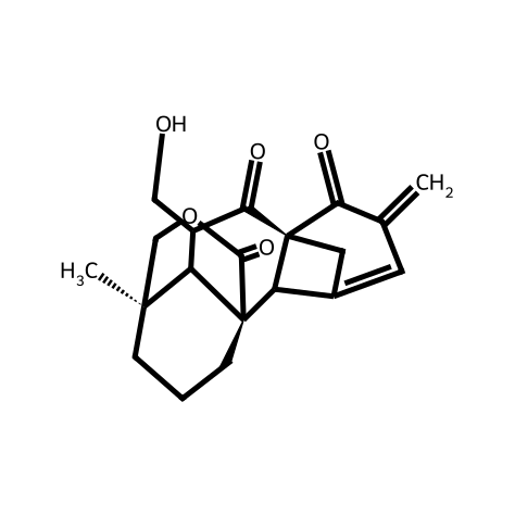 C=C1C=C2C[C@]3(C1=O)C(=O)C(CO)C1[C@@]4(C)CCC[C@@]1(C(=O)OC4)C23